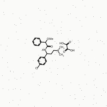 COC(C(=O)NC(CCN(C)C)c1ccc(Cl)cc1)c1ccccc1.O=C(O)C(=O)O